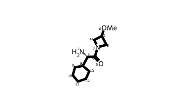 COC1CN(C(=O)[C@@H](N)C2CCCCC2)C1